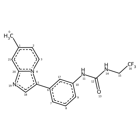 Cc1ccn2c(-c3cccc(NC(=O)NCC(F)(F)F)c3)cnc2c1